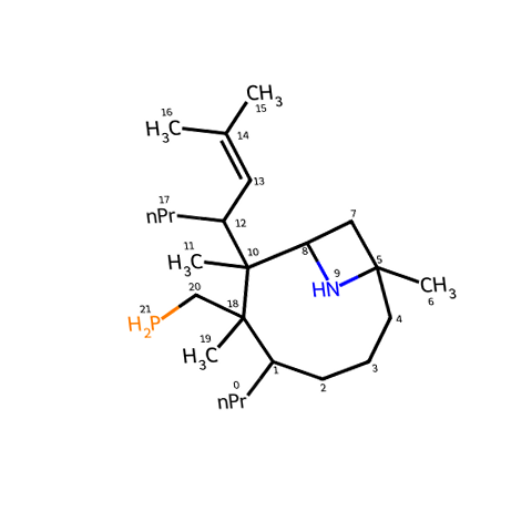 CCCC1CCCC2(C)CC(N2)C(C)(C(C=C(C)C)CCC)C1(C)CP